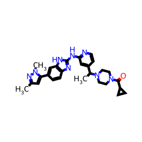 Cc1cc(-c2ccc3nc(Nc4cc(C(C)N5CCN(C(=O)C6CC6)CC5)ccn4)[nH]c3c2)n(C)n1